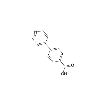 O=C(O)c1ccc(-c2ccnnn2)cc1